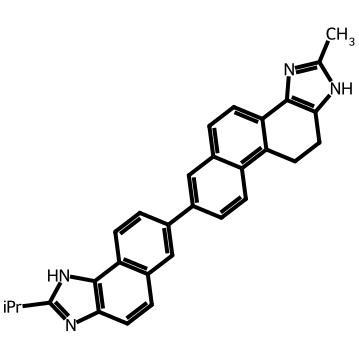 Cc1nc2c([nH]1)CCc1c-2ccc2cc(-c3ccc4c(ccc5nc(C(C)C)[nH]c54)c3)ccc12